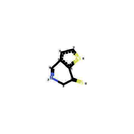 S=C1CN=Cc2ccsc21